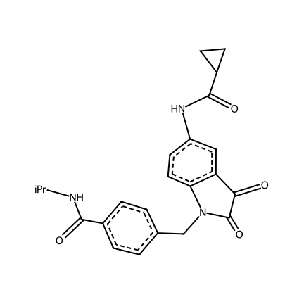 CC(C)NC(=O)c1ccc(CN2C(=O)C(=O)c3cc(NC(=O)C4CC4)ccc32)cc1